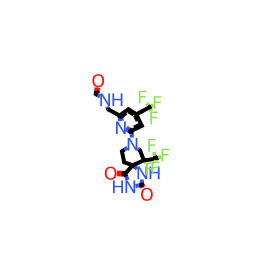 O=CNCc1cc(C(F)(F)F)cc(N2CCC3(NC(=O)NC3=O)C(F)(C(F)(F)F)C2)n1